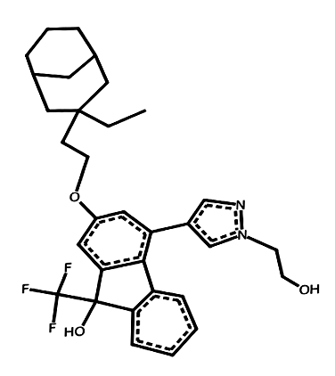 CCC1(CCOc2cc(-c3cnn(CCO)c3)c3c(c2)C(O)(C(F)(F)F)c2ccccc2-3)CC2CCCC(C2)C1